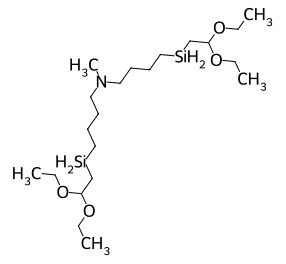 CCOC(C[SiH2]CCCCN(C)CCCC[SiH2]CC(OCC)OCC)OCC